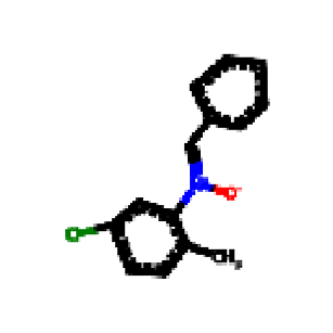 Cc1ccc(Cl)cc1[N+]([O-])=Cc1ccccc1